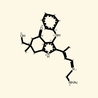 CC(=O)NC/N=C\C=C(/C)c1[nH]c2c(c1Nc1ccccc1)C(=O)CC(C)(CO)C2